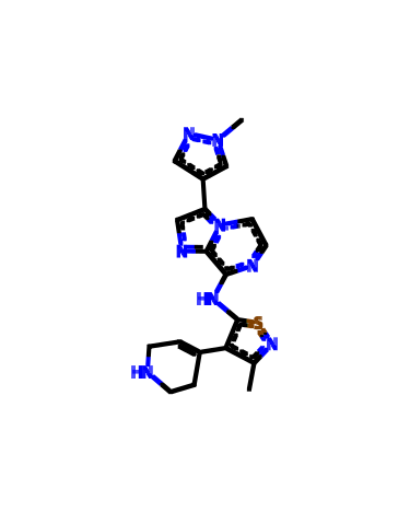 Cc1nsc(Nc2nccn3c(-c4cnn(C)c4)cnc23)c1C1=CCNCC1